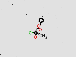 CC[C@H]1C(=O)C(Cl)[C@@H]1CC(=O)OCc1ccccc1